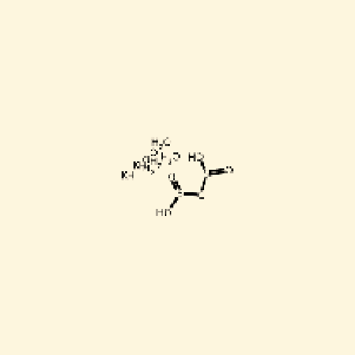 O.O.O.O.O=S(O)OS(=O)O.[KH].[KH]